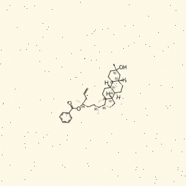 C=CC[C@@](C)(CC[C@@H](C)[C@H]1CC[C@H]2[C@@H]3CC[C@H]4C[C@@](C)(O)CC[C@]4(C)[C@H]3CC[C@]12C)OC(=O)c1ccccc1